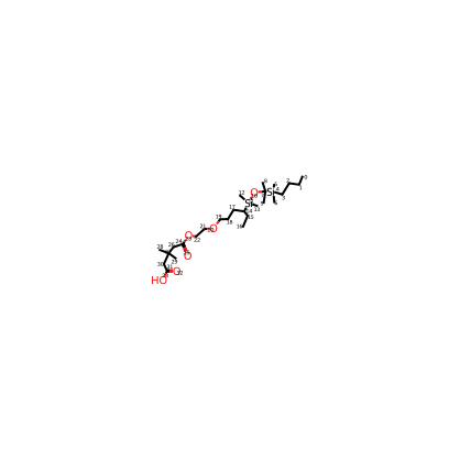 CCCC[Si](C)(C)C(C)(C)O[Si](C)(C)C(CC)CCCOCCOC(=O)CC(C)(C)CC(=O)O